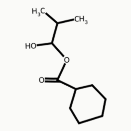 CC(C)C(O)OC(=O)C1CCCCC1